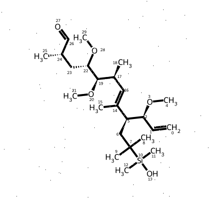 C=C[C@H](OC)[C@@H](CC(C)(C)[Si](C)(C)O)/C(C)=C/[C@H](C)[C@@H](OC)[C@H](C[C@H](C)C=O)OC